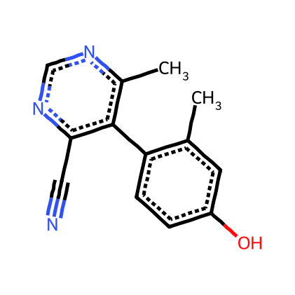 Cc1cc(O)ccc1-c1c(C)ncnc1C#N